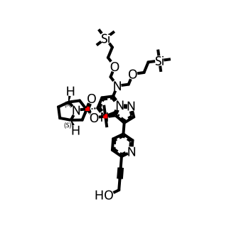 CC(C)(C)OC(=O)N1[C@@H]2CC[C@H]1C[C@@H](c1cc(N(COCC[Si](C)(C)C)COCC[Si](C)(C)C)n3ncc(-c4ccc(C#CCO)nc4)c3n1)C2